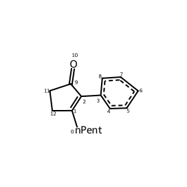 CCCCCC1=C(c2ccccc2)C(=O)CC1